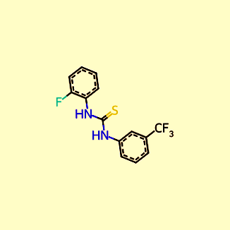 Fc1ccccc1NC(=S)Nc1cccc(C(F)(F)F)c1